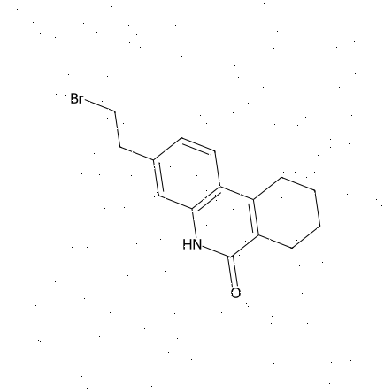 O=c1[nH]c2cc(CCBr)ccc2c2c1CCCC2